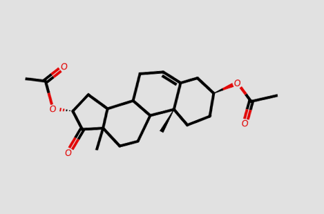 CC(=O)O[C@H]1CC[C@@]2(C)C(=CCC3C4C[C@@H](OC(C)=O)C(=O)C4(C)CCC32)C1